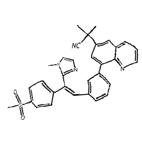 Cn1ccnc1C(=Cc1cccc(-c2cc(C(C)(C)C#N)cc3cccnc23)c1)c1ccc(S(C)(=O)=O)cc1